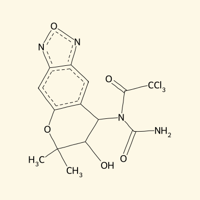 CC1(C)Oc2cc3nonc3cc2C(N(C(N)=O)C(=O)C(Cl)(Cl)Cl)C1O